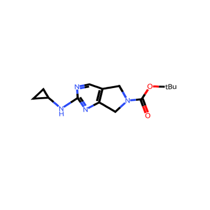 CC(C)(C)OC(=O)N1Cc2cnc(NC3CC3)nc2C1